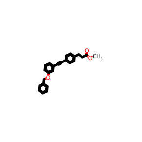 COC(=O)CCc1ccc(C#Cc2cccc(OCc3ccccc3)c2)cc1